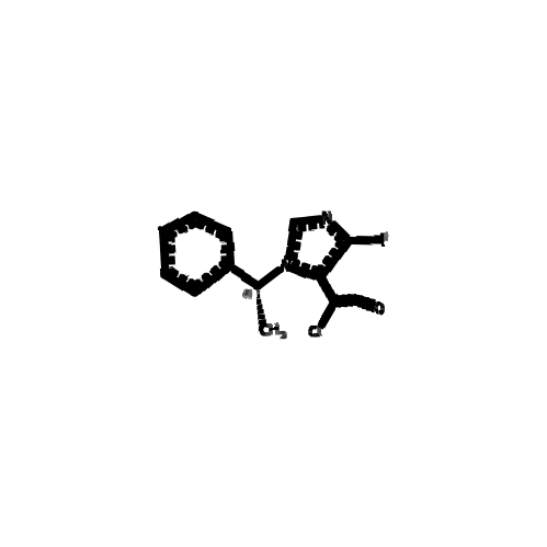 C[C@H](c1ccccc1)n1cnc(F)c1C(=O)Cl